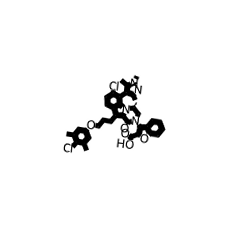 Cc1cc(OCCCc2c3n(c4c(-c5c(C)nn(C)c5C)c(Cl)ccc24)[C@H](C)CN(c2c(C(=O)O)oc4ccccc24)C3=O)cc(C)c1Cl